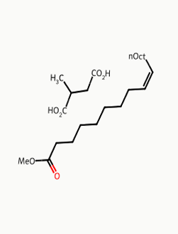 CC(CC(=O)O)C(=O)O.CCCCCCCC/C=C\CCCCCCCC(=O)OC